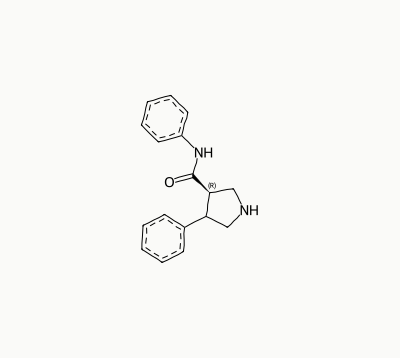 O=C(Nc1ccccc1)[C@H]1CNCC1c1ccccc1